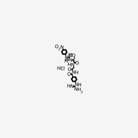 Cl.N=C(N)Nc1ccc(C(=O)NC(=O)CNC(=O)[C@H](CO)NC(=O)Nc2ccc([N+](=O)[O-])cc2)cc1